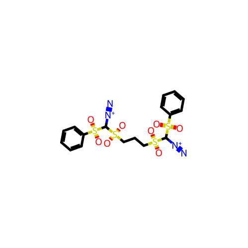 N#[N+]C(S(=O)(=O)CCCS(=O)(=O)C([N+]#N)S(=O)(=O)c1ccccc1)S(=O)(=O)c1ccccc1